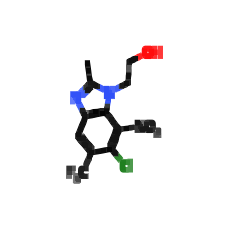 Cc1nc2cc(C(F)(F)F)c(Cl)c([N+](=O)[O-])c2n1CCO